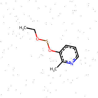 CCOSOc1cccnc1C